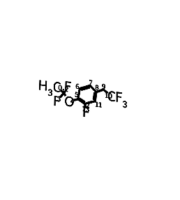 CC(F)(F)Oc1ccc(CC(F)(F)F)cc1F